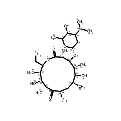 CCC1OC(=O)[C@H](C)[C@@H](O[C@H]2CC(N(C)C)[C@H](O)C(C)O2)[C@H](C)[C@@H](O)[C@@H](C)C[C@@H](C)C(=O)[C@H](C)[C@@H](O)[C@H]1C